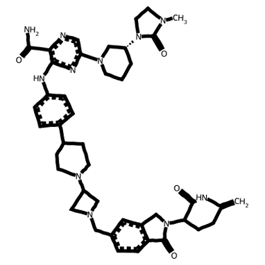 C=C1CCC(N2Cc3cc(CN4CC(N5CCC(c6ccc(Nc7nc(N8CCC[C@@H](N9CCN(C)C9=O)C8)cnc7C(N)=O)cc6)CC5)C4)ccc3C2=O)C(=O)N1